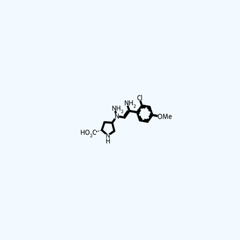 COc1ccc(/C(N)=C/N(N)C2CN[C@H](C(=O)O)C2)c(Cl)c1